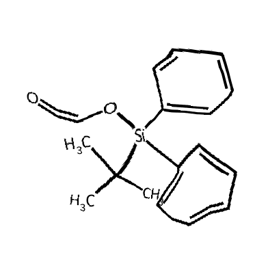 CC(C)(C)[Si](O[C]=O)(c1ccccc1)c1ccccc1